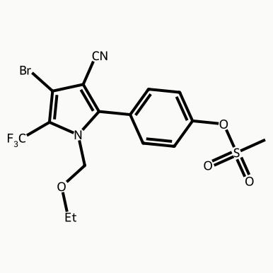 CCOCn1c(-c2ccc(OS(C)(=O)=O)cc2)c(C#N)c(Br)c1C(F)(F)F